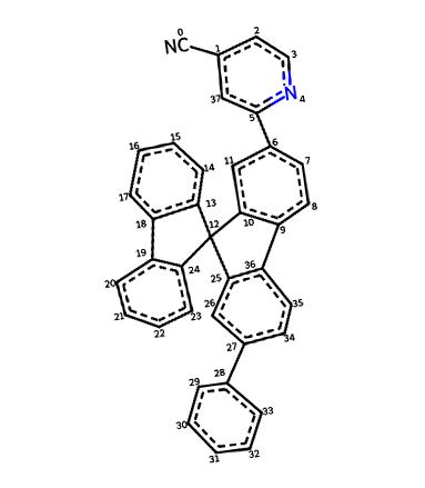 N#Cc1ccnc(-c2ccc3c(c2)C2(c4ccccc4-c4ccccc42)c2cc(-c4ccccc4)ccc2-3)c1